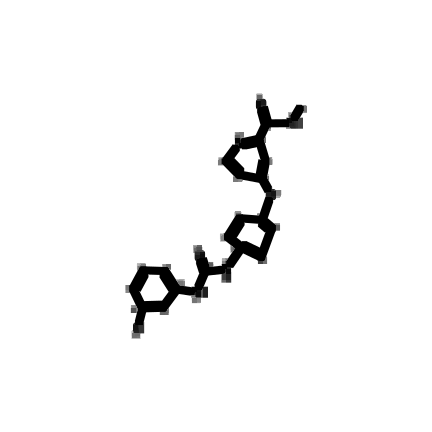 CNC(=O)c1cc(Oc2ccc(NC(=O)Nc3cccc(Cl)c3)cc2)ccn1